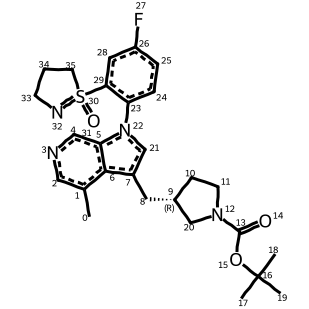 Cc1cncc2c1c(C[C@@H]1CCN(C(=O)OC(C)(C)C)C1)cn2-c1ccc(F)cc1S1(=O)=NCCC1